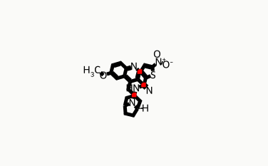 COc1ccc2ncc(C#N)c(CCN3C4CC[C@@H]3CC(NCc3ccc([N+](=O)[O-])s3)C4)c2c1